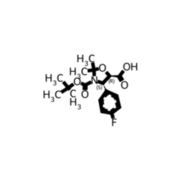 CC(C)(C)OC(=O)N1[C@@H](c2ccc(F)cc2)[C@H](C(=O)O)OC1(C)C